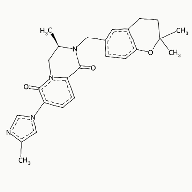 Cc1cn(-c2ccc3n(c2=O)C[C@@H](C)N(Cc2ccc4c(c2)CCC(C)(C)O4)C3=O)cn1